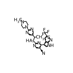 CC([AsH]c1ncc(C#N)c(-c2c[nH]c3ncc(C(F)(F)F)cc23)n1)c1cnc(N2CCN(C)CC2)nc1